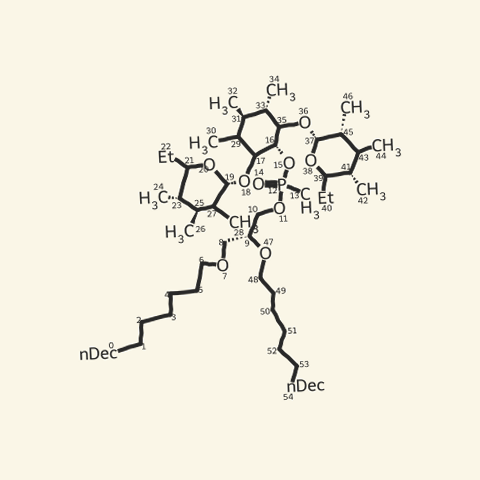 CCCCCCCCCCCCCCCCOC[C@H](COP(C)(=O)O[C@@H]1C(O[C@H]2OC(CC)[C@@H](C)[C@H](C)C2C)C(C)[C@@H](C)[C@H](C)C1O[C@H]1OC(CC)[C@@H](C)C(C)[C@H]1C)OCCCCCCCCCCCCCCCC